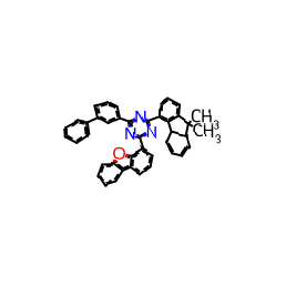 CC1(C)c2cccc(-c3nc(-c4cccc(-c5ccccc5)c4)nc(-c4cccc5c4oc4ccccc45)n3)c2C2C=CC=CC21